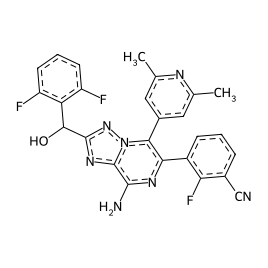 Cc1cc(-c2c(-c3cccc(C#N)c3F)nc(N)c3nc(C(O)c4c(F)cccc4F)nn23)cc(C)n1